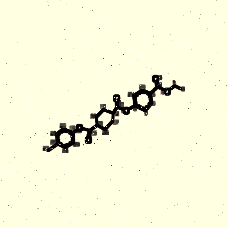 CCOC(=O)c1ccc(OC(=O)C2CCC(C(=O)Oc3ccc(C)cc3)CC2)cc1